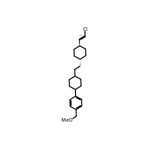 COCc1ccc(C2CCC(CC[C@H]3CC[C@H](/C=C/Cl)CC3)CC2)cc1